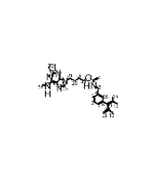 C=C(NCc1cccc(C(C(=C)C)=C(C)C)c1)OCCCCn1cnc2c(NC)nc(Cl)nc21